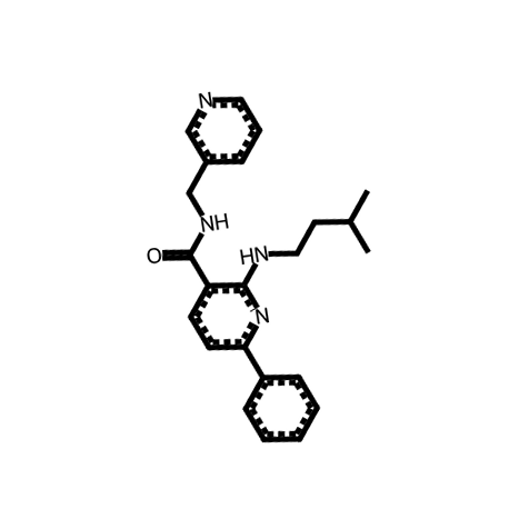 CC(C)CCNc1nc(-c2ccccc2)ccc1C(=O)NCc1cccnc1